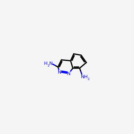 Nc1cc2cccc(N)c2nn1